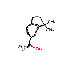 CC(O)c1ccc2c(c1)C(C)(C)CC2